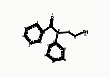 O=C(c1cccnc1)N(CCO)c1ccccc1